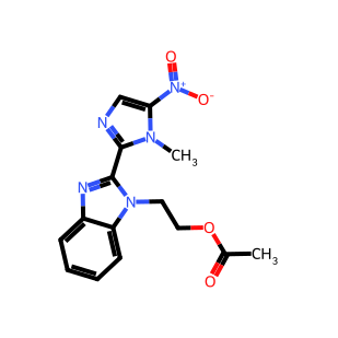 CC(=O)OCCn1c(-c2ncc([N+](=O)[O-])n2C)nc2ccccc21